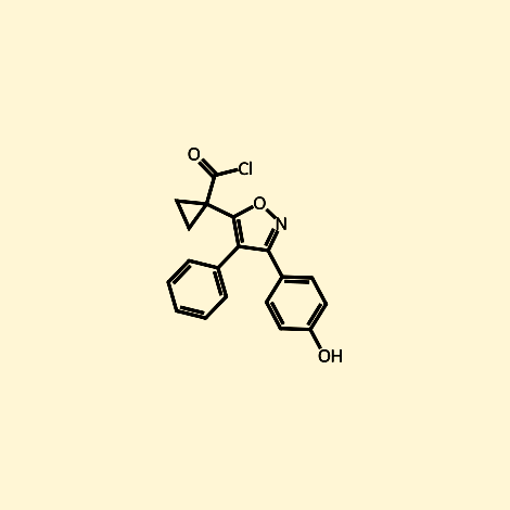 O=C(Cl)C1(c2onc(-c3ccc(O)cc3)c2-c2ccccc2)CC1